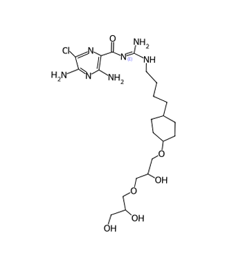 N/C(=N\C(=O)c1nc(Cl)c(N)nc1N)NCCCCC1CCC(OCC(O)COCC(O)CO)CC1